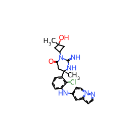 CC1(O)CC(N2C(=N)N[C@](C)(c3cccc(Nc4ccn5nccc5c4)c3Cl)CC2=O)C1